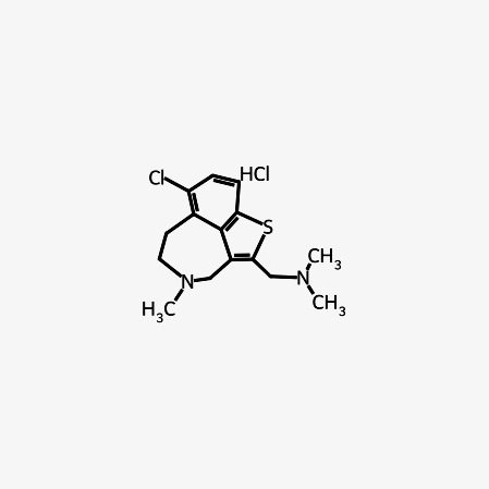 CN(C)Cc1sc2ccc(Cl)c3c2c1CN(C)CC3.Cl